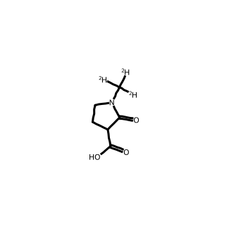 [2H]C([2H])([2H])N1CCC(C(=O)O)C1=O